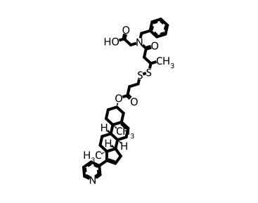 CC(CC(=O)N(CC(=O)O)Cc1ccccc1)SSCCC(=O)O[C@H]1CC[C@@]2(C)C(=CC[C@@H]3[C@@H]2CC[C@]2(C)C(c4cccnc4)=CC[C@@H]32)C1